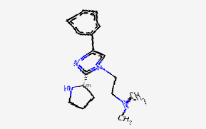 CN(C)CCn1cc(-c2ccccc2)nc1[C@@H]1CCCN1